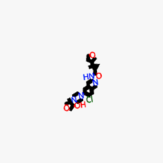 CC1(C2CCOC2)CC1C(=O)Nc1cc2cc(N3CCN(C4(C)COCC4O)CC3)c(Cl)cc2cn1